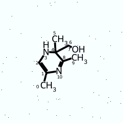 CC1=CNC(C)(CO)C(C)=N1